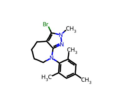 Cc1cc(C)c(N2CCCCc3c2nn(C)c3Br)c(C)c1